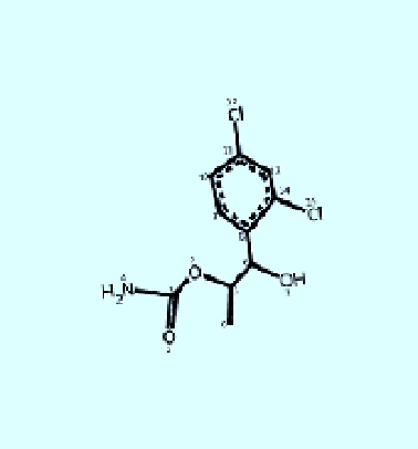 CC(OC(N)=O)C(O)c1ccc(Cl)cc1Cl